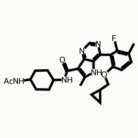 CC(=O)NC1CCC(NC(=O)c2c(C)[nH]c3c(-c4c(OCC5CC5)ccc(C)c4F)ncnc23)CC1